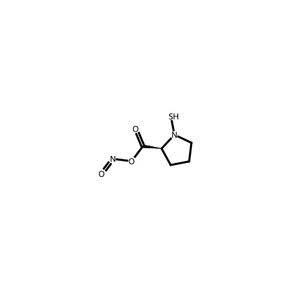 O=NOC(=O)[C@@H]1CCCN1S